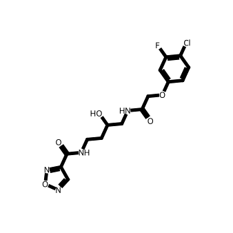 O=C(COc1ccc(Cl)c(F)c1)NCC(O)CCNC(=O)c1cnon1